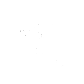 CC(C)(C)OC(=O)CC1(C(=O)O)CC(c2cccc(OCc3ccccc3)c2)=NO1